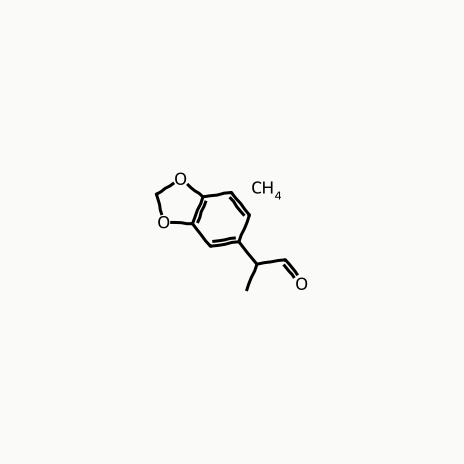 C.CC(C=O)c1ccc2c(c1)OCO2